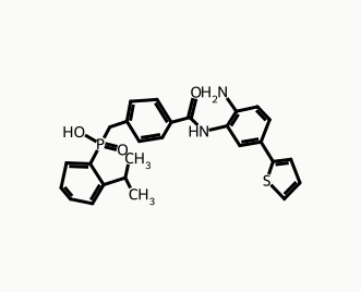 CC(C)c1ccccc1P(=O)(O)Cc1ccc(C(=O)Nc2cc(-c3cccs3)ccc2N)cc1